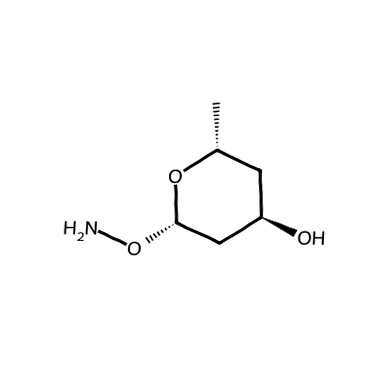 C[C@@H]1C[C@@H](O)C[C@H](ON)O1